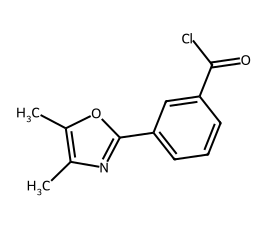 Cc1nc(-c2cccc(C(=O)Cl)c2)oc1C